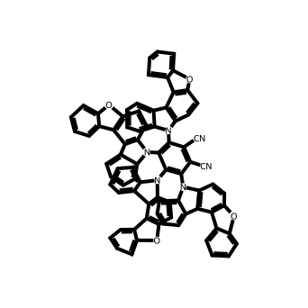 N#Cc1c(C#N)c(-n2c3ccccc3c3c4c(ccc32)oc2ccccc24)c(-n2c3ccccc3c3c4c(ccc32)oc2ccccc24)c(-n2c3ccccc3c3c4c(ccc32)oc2ccccc24)c1-n1c2ccccc2c2c3c(ccc21)oc1ccccc13